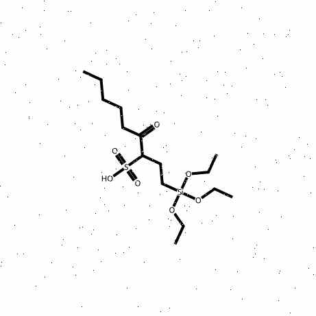 CCCCCC(=O)C(CC[Si](OCC)(OCC)OCC)S(=O)(=O)O